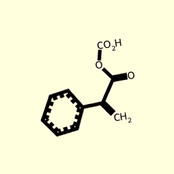 C=C(C(=O)OC(=O)O)c1ccccc1